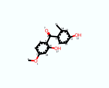 COc1ccc(C(=O)c2ccc(O)cc2C)c(O)c1